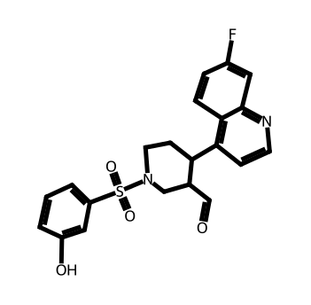 O=CC1CN(S(=O)(=O)c2cccc(O)c2)CCC1c1ccnc2cc(F)ccc12